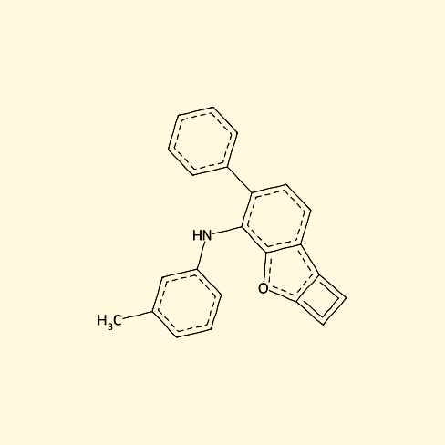 Cc1cccc(Nc2c(-c3ccccc3)ccc3c4c(oc23)=C=C=4)c1